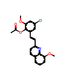 COc1cc(Cl)cc(/C=C/c2ccc3cccc(OC)c3n2)c1OC(C)=O